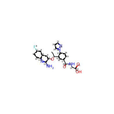 CC(Oc1cc2cc(F)ccc2nc1N)c1cc(C(=O)NCC(=O)O)ccc1-n1cccn1